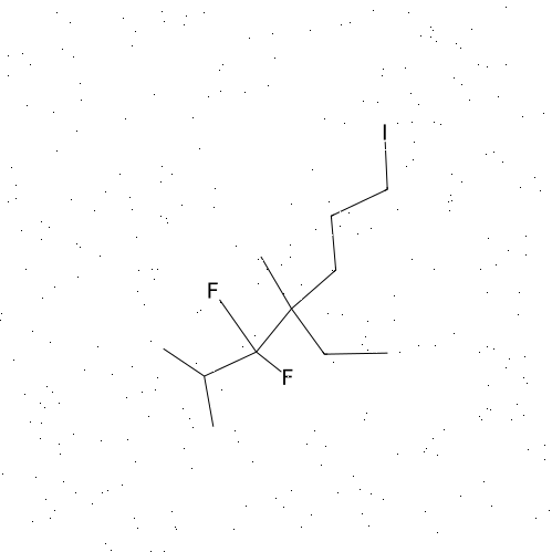 CCC(C)(CCCI)C(F)(F)C(C)C